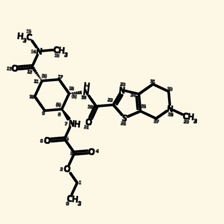 CCOC(=O)C(=O)N[C@H]1CC[C@H](C(=O)N(C)C)C[C@@H]1NC(=O)c1nc2c(s1)CN(C)CC2